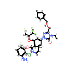 CCn1c(COCc2ccccc2)nn(-c2cc(OC(CF)C(F)F)c3c(Oc4c(F)ccc(N)c4Cl)nccc3c2)c1=O